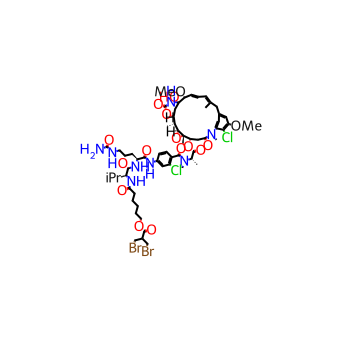 COc1cc2cc(c1Cl)N(C)C(=O)C[C@H](OC(=O)[C@H](C)N(C)C(=O)c1ccc(NC(=O)[C@H](CCCNC(N)=O)NC(=O)[C@@H](NC(=O)CCCCCOC(=O)C(CBr)CBr)C(C)C)cc1Cl)[C@]1(C)O[C@H]1[C@H](C)[C@@H]1C[C@@](O)(NC(=O)O1)[C@H](OC)/C=C/C=C(\C)C2